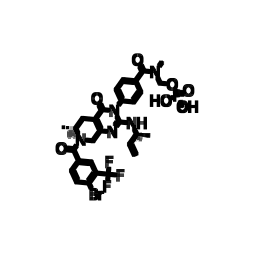 C=C[C@H](C)Nc1nc2c(c(=O)n1-c1ccc(C(=O)N(C)COP(=O)(O)O)cc1)C[C@@H](C)N(C(=O)c1ccc(Br)c(C(F)(F)F)c1)C2